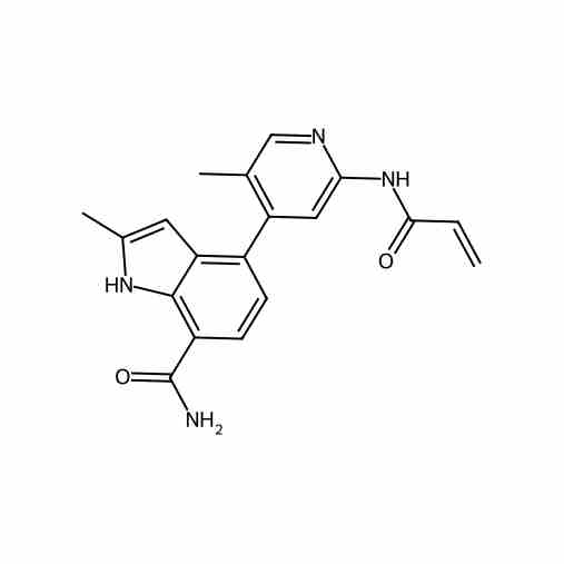 C=CC(=O)Nc1cc(-c2ccc(C(N)=O)c3[nH]c(C)cc23)c(C)cn1